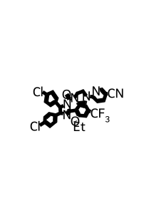 CCOc1cc(C(F)(F)F)ccc1C1=NC(c2ccc(Cl)cc2)C(c2ccc(Cl)cc2)N1C(=O)N1CCN(c2ccc(C#N)cn2)CC1